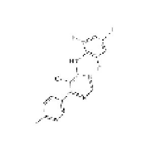 Cc1ccc(-c2ncnc(Nc3c(F)cc(F)cc3F)c2O)cc1